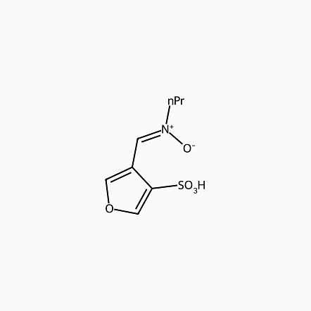 CCC[N+]([O-])=Cc1cocc1S(=O)(=O)O